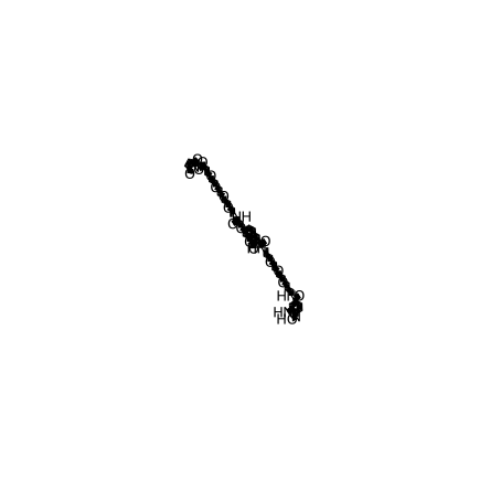 N=C1C=C(C(=O)NCCCOCCOCCOCCCNC(=O)c2cc3ccc(OCC(=O)NCCOCCOCCOCCOCCC(=O)ON4C(=O)CCC4=O)cc3oc2=O)C=C/C1=N/O